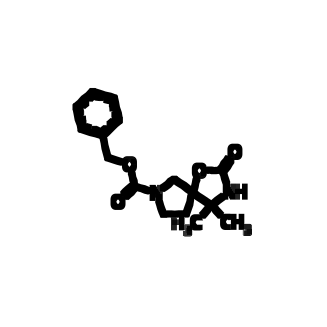 CC1(C)NC(=O)OC12CCN(C(=O)OCc1ccccc1)C2